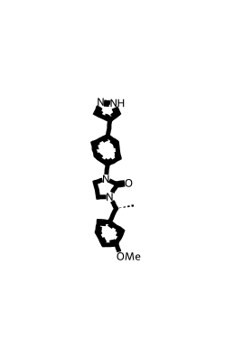 COc1cccc([C@@H](C)N2CCN(c3ccc(-c4cn[nH]c4)cc3)C2=O)c1